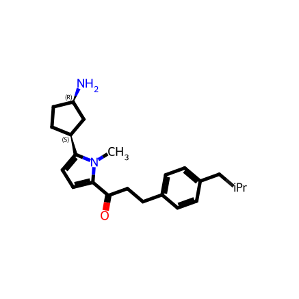 CC(C)Cc1ccc(CCC(=O)c2ccc([C@H]3CC[C@@H](N)C3)n2C)cc1